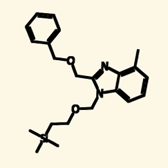 Cc1cccc2c1nc(COCc1ccccc1)n2COCC[Si](C)(C)C